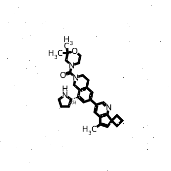 CC1=CC2(CCC2)c2ncc(-c3cc4c(c([C@@H]5CCCN5)c3)CN(C(=O)N3CCOC(C)(C)C3)CC4)cc21